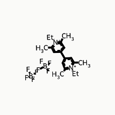 CC[n+]1c(C)cc(-c2cc(C)[n+](CC)c(C)c2)cc1C.F[B-](F)(F)F.F[B-](F)(F)F